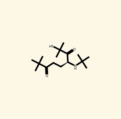 CC(C)(C)N[C@@H](CCC(=O)C(C)(C)C)C(=O)C(C)(C)S